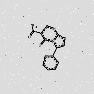 NC(=O)c1cnc2scc(-c3ccccc3)n2c1=O